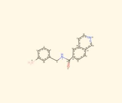 Bc1cccc(CNC(=O)c2ccc3cnccc3c2)c1